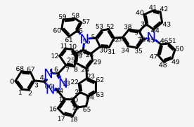 c1ccc(-c2nc(-c3ccccc3)nc(-c3cccc4c3-c3cc(-c5ccc6c(c5)c5cc(-c7ccc8c(c7)c7ccccc7n8-c7ccccc7)ccc5n6-c5ccccc5)ccc3C4)n2)cc1